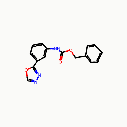 O=C(Nc1cccc(-c2nnco2)c1)OCc1ccccc1